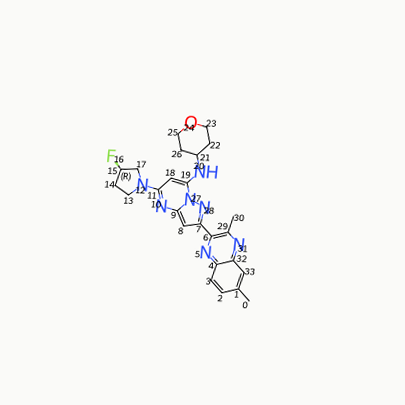 Cc1ccc2nc(-c3cc4nc(N5CC[C@@H](F)C5)cc(NC5CCOCC5)n4n3)c(C)nc2c1